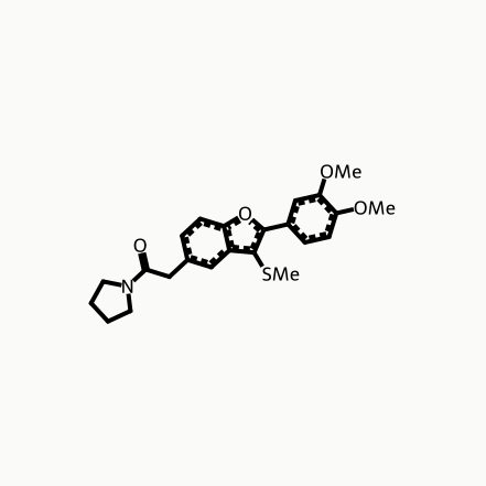 COc1ccc(-c2oc3ccc(CC(=O)N4CCCC4)cc3c2SC)cc1OC